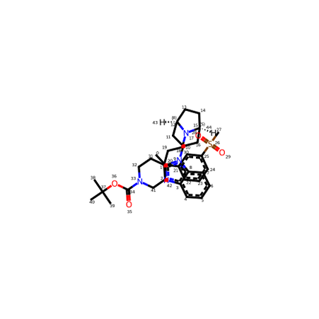 Cc1nc2ccccc2n1C1C[C@H]2CC[C@@H](C1)N2CCC1(c2cccc(S(C)(=O)=O)c2)CCN(C(=O)OC(C)(C)C)CC1